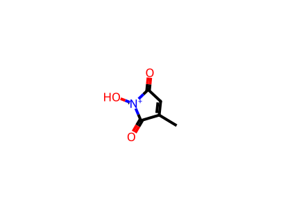 CC1=CC(=O)[N+](O)C1=O